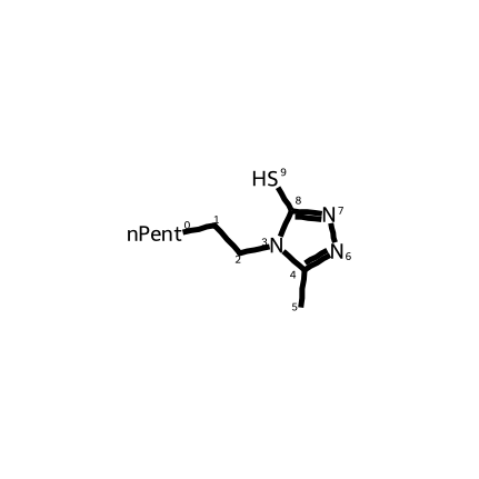 CCCCCCCn1c(C)nnc1S